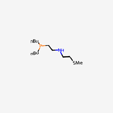 CCCCP(CCCC)CCNCCSC